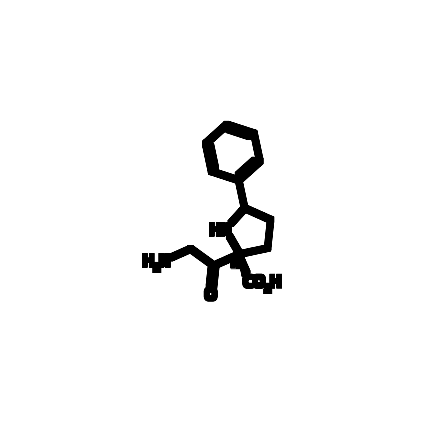 NCC(=O)[C@@]1(C(=O)O)CCC(c2ccccc2)N1